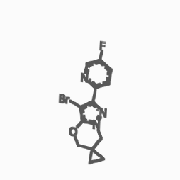 Fc1ccc(-c2nn3c(c2Br)OCC2(CC2)C3)nc1